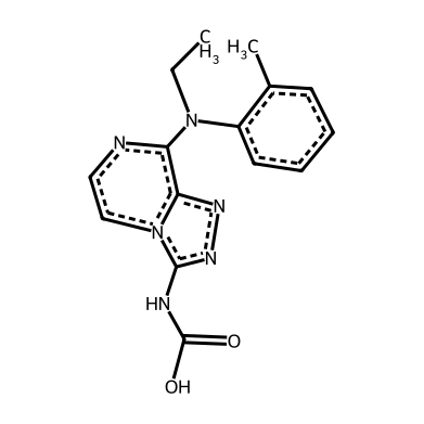 CCN(c1ccccc1C)c1nccn2c(NC(=O)O)nnc12